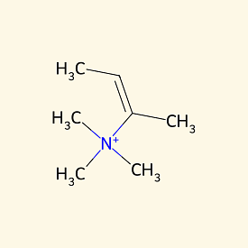 CC=C(C)[N+](C)(C)C